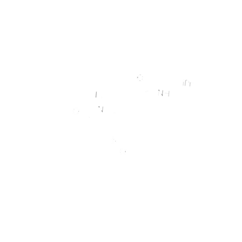 CCN1C(=O)c2ccccc2[S+]([O-])c2ccc(C(=O)NCC(C)C)cc21